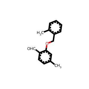 Cc1ccc(C=O)c(OCc2ccccc2C)c1